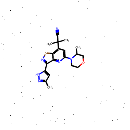 Cc1cc(-c2nsc3c(C(C)(C)C#N)cc(N4CCOCC4C)nc23)[nH]n1